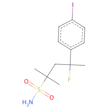 CC(F)(CC(C)(C)S(N)(=O)=O)c1ccc(I)cc1